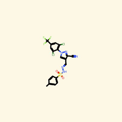 Cc1ccc(S(=O)(=O)N/N=C/c2cn(-c3c(Cl)cc(C(F)(F)F)cc3Cl)nc2C#N)cc1